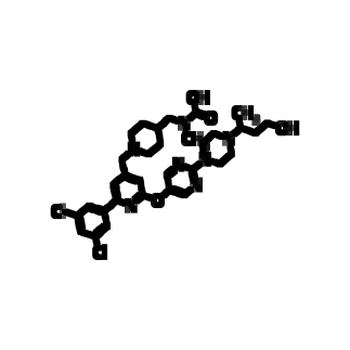 CC(CCO)N1CCN(c2ncc(Oc3cc(CN4CCC(CN(C)C(=O)O)CC4)cc(-c4cc(Cl)cc(Cl)c4)n3)cn2)CC1